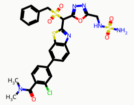 CN(C)C(=O)c1ccc(-c2ccc3nc(C(c4nnc(CNS(N)(=O)=O)o4)S(=O)(=O)Cc4ccccc4)sc3c2)cc1Cl